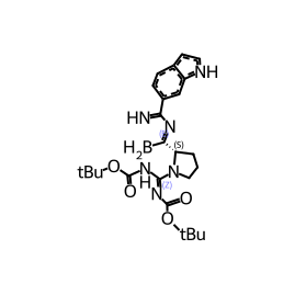 B/C(=N\C(=N)c1ccc2cc[nH]c2c1)[C@@H]1CCCN1/C(=N\C(=O)OC(C)(C)C)NC(=O)OC(C)(C)C